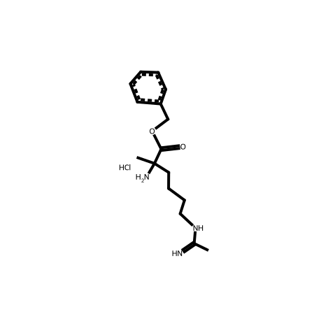 CC(=N)NCCCCC(C)(N)C(=O)OCc1ccccc1.Cl